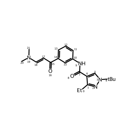 CCc1nn(C(C)(C)C)cc1C(=O)Nc1cccc(C(=O)C=CN(C)C)c1